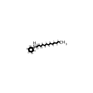 CCCCCCCCCCCCC[SiH2]c1ccccc1